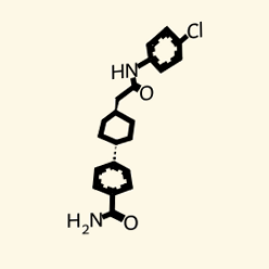 NC(=O)c1ccc([C@H]2CC[C@H](CC(=O)Nc3ccc(Cl)cc3)CC2)cc1